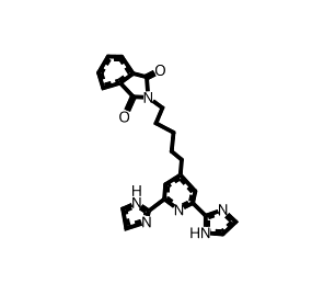 O=C1c2ccccc2C(=O)N1CCCCCc1cc(-c2ncc[nH]2)nc(-c2ncc[nH]2)c1